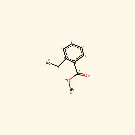 CC(=O)Cc1ccccc1C(=O)OC(C)C